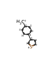 Cc1[c]cc(-c2ccsc2)cc1